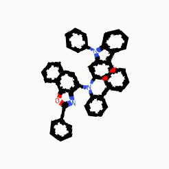 c1ccc(-c2nc3c(N(c4ccc5c6ccccc6n(-c6ccccc6)c5c4)c4ccccc4-c4ccccc4)cc4ccccc4c3o2)cc1